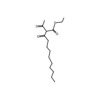 CCCCCCCCCC(=O)C(C(C)=O)C(=O)OCC